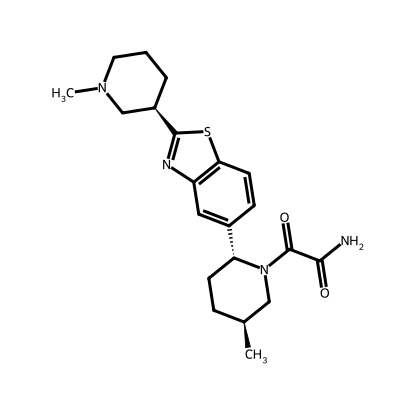 C[C@H]1CC[C@H](c2ccc3sc([C@@H]4CCCN(C)C4)nc3c2)N(C(=O)C(N)=O)C1